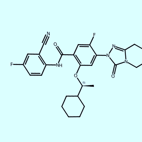 C[C@H](Oc1cc(-n2nc3n(c2=O)CCCC3)c(F)cc1C(=O)Nc1ccc(F)cc1C#N)C1CCCCC1